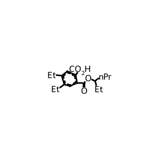 CCCC(CC)OC(=O)c1cc(CC)c(CC)cc1C(=O)O